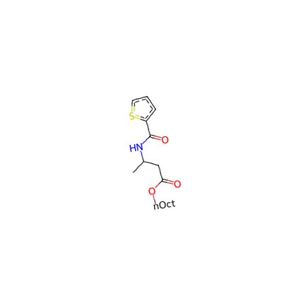 CCCCCCCCOC(=O)CC(C)NC(=O)c1cccs1